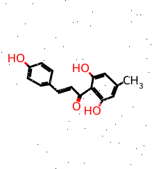 Cc1cc(O)c(C(=O)/C=C/c2ccc(O)cc2)c(O)c1